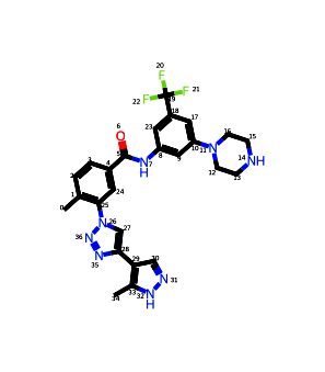 Cc1ccc(C(=O)Nc2cc(N3CCNCC3)cc(C(F)(F)F)c2)cc1-n1cc(-c2cn[nH]c2C)nn1